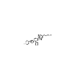 CCCCCc1cnc(-c2ccc(OCC3CC[CH]CC3)c(Cl)c2)nc1